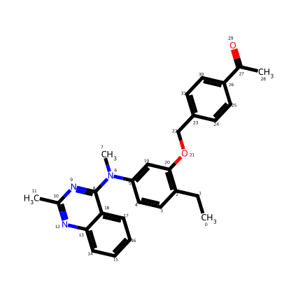 CCc1ccc(N(C)c2nc(C)nc3ccccc23)cc1OCc1ccc(C(C)=O)cc1